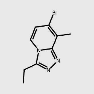 CCc1nnc2c(C)c(Br)ccn12